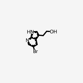 OCCc1c[nH]c2ncc(Br)cc12